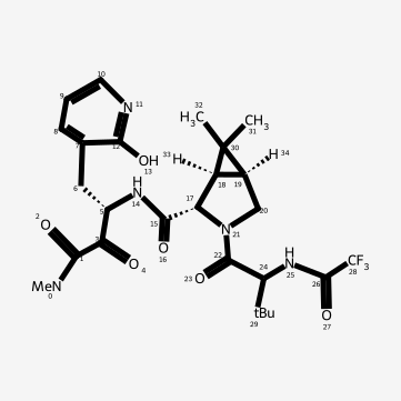 CNC(=O)C(=O)[C@H](Cc1cccnc1O)NC(=O)[C@@H]1[C@@H]2[C@H](CN1C(=O)C(NC(=O)C(F)(F)F)C(C)(C)C)C2(C)C